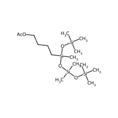 CC(=O)OCCCC[Si](C)(O[Si](C)(C)C)O[Si](C)(C)O[Si](C)(C)C